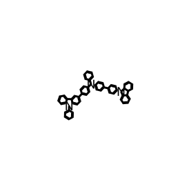 C1=CC2c3ccccc3N(c3ccc(-c4ccc(N(c5ccccc5)c5ccc(-c6ccc7c(c6)c6ccccc6n7-c6ccccc6)cc5)cc4)cc3)C2C=C1